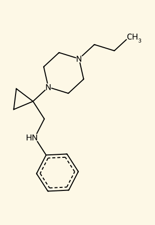 CCCN1CCN(C2(CNc3ccccc3)CC2)CC1